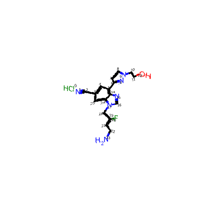 Cl.N#Cc1cc(-c2ccn(CCO)n2)c2ncn(CC(F)=CCN)c2c1